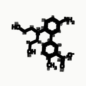 Cc1ccc(-c2cc(N)ccc2N(CCO)CCO)cc1[N+](=O)[O-]